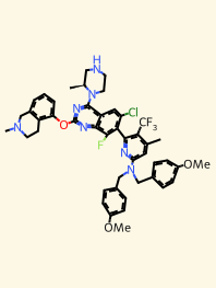 COc1ccc(CN(Cc2ccc(OC)cc2)c2cc(C)c(C(F)(F)F)c(-c3c(Cl)cc4c(N5CCNC[C@@H]5C)nc(Oc5cccc6c5CCN(C)C6)nc4c3F)n2)cc1